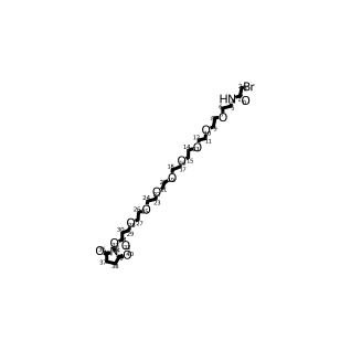 O=C(CBr)NCCOCCOCCOCCOCCOCCOCCOCCOCCC(=O)ON1C(=O)CCC1=O